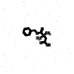 C[N+](C)(CC(=O)O)C(=O)OCc1ccccc1